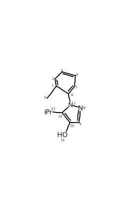 Cc1ccccc1-n1ncc(O)c1C(C)C